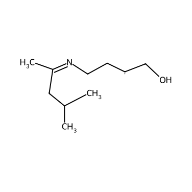 CC(CC(C)C)=NCC[CH]CO